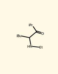 CCNC(C(=O)C(C)C)C(C)CC